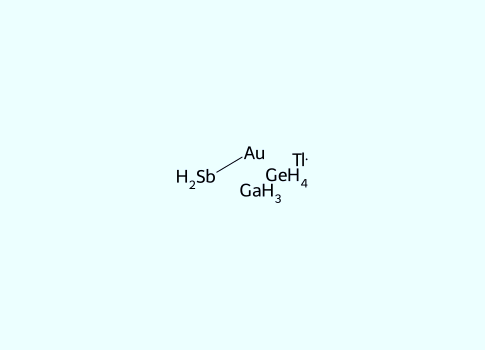 [GaH3].[GeH4].[SbH2][Au].[Tl]